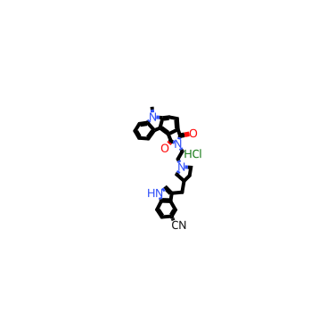 Cl.Cn1c2ccccc2c2c3c(ccc21)C(=O)N(CCN1CCC(Cc2c[nH]c4ccc(C#N)cc24)C1)C3=O